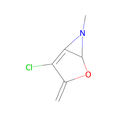 C=C1OC2C(=C1Cl)N2C